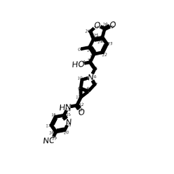 Cc1c(C(O)CN2CC3C(C2)C3C(=O)Nc2ccc(C#N)cn2)ccc2c1COC2=O